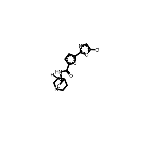 O=C(N[C@H]1CN2CCC1CC2)c1ccc(-c2ncc(Cl)o2)s1